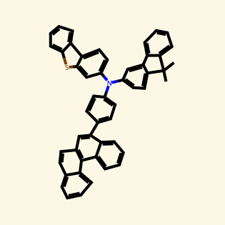 CC1(C)c2ccccc2-c2cc(N(c3ccc(-c4cc5ccc6ccccc6c5c5ccccc45)cc3)c3ccc4c(c3)sc3ccccc34)ccc21